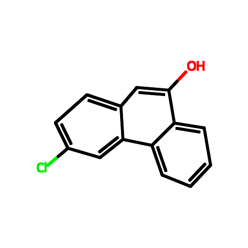 Oc1cc2ccc(Cl)cc2c2ccccc12